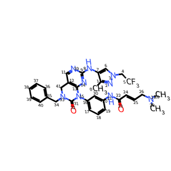 Cc1nn(CC(F)(F)F)cc1Nc1ncc2c(n1)N(c1cccc(NC(=O)/C=C/CN(C)C)c1)C(=O)N(Cc1ccccc1)C2